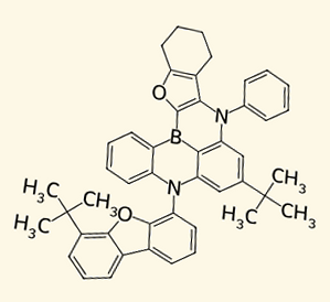 CC(C)(C)c1cc2c3c(c1)N(c1cccc4c1oc1c(C(C)(C)C)cccc14)c1ccccc1B3c1oc3c(c1N2c1ccccc1)CCCC3